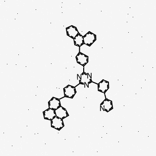 c1cncc(-c2cccc(-c3nc(-c4ccc(-c5cc6ccccc6c6ccccc56)cc4)nc(-c4ccc(-c5ccc6ccc7cccc8ccc5c6c78)cc4)n3)c2)c1